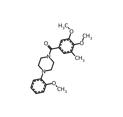 COc1ccccc1N1CCN(C(=O)c2cc(C)c(OC)c(OC)c2)CC1